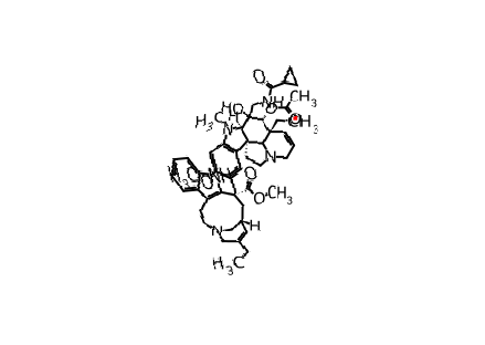 CCC1=C[C@@H]2CN(CCc3c([nH]c4ccccc34)[C@@](C(=O)OC)(c3cc4c(cc3OC)N(C)[C@H]3C(O)(CNC(=O)C5CC5)[C@H](OC(C)=O)[C@]5(CC)C=CCN6CC[C@]43C65)C2)C1